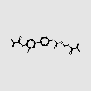 C=C(C)C(=O)OCOC(=O)Oc1ccc(-c2ccc(OC(=O)C(=C)C)c(F)c2)cc1